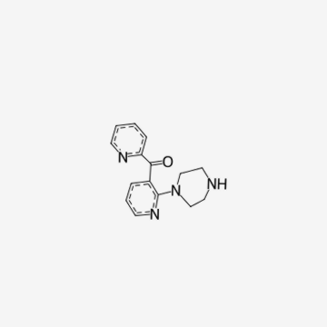 O=C(c1ccccn1)c1cccnc1N1CCNCC1